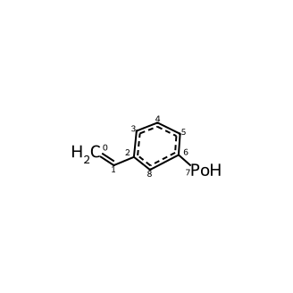 C=Cc1ccc[c]([PoH])c1